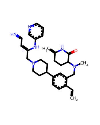 C=Cc1ccc(C2CCN(C/C(=C/C=N)Nc3cccnc3)CC2)cc1CN(C)C1CCC(=C)NC1=O